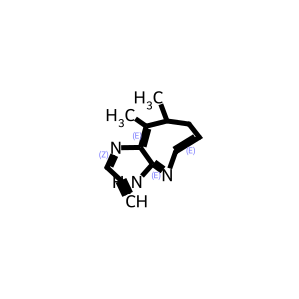 C#C\C=N/C1=C(\C)C(C)C/C=C/N=C\1N